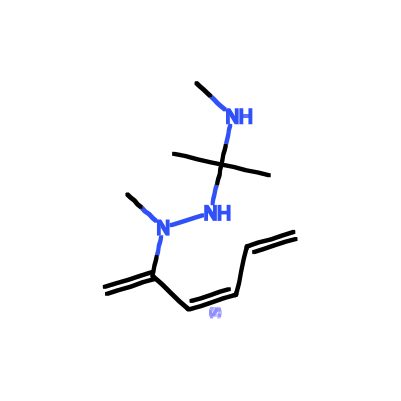 C=C/C=C\C(=C)N(C)NC(C)(C)NC